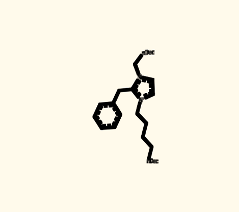 CCCCCCCCCCCCCC[n+]1ccn(CCCCCCCCCCC)c1Cc1ccccc1